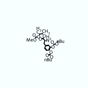 CCCCOC(=O)Oc1ccc(C[C@H](N)C(=O)O[C@@H](C)C(C)OC(=O)OC)cc1OC(=O)OCCCC